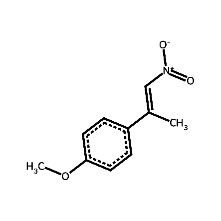 COc1ccc(C(C)=C[N+](=O)[O-])cc1